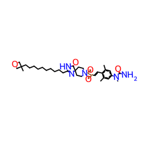 Cc1cc(N(C)C(N)=O)cc(C)c1C=CS(=O)(=O)N1CCC2(CC1)N=C(CCCCCCCCCCC1(C)COC1)NC2=O